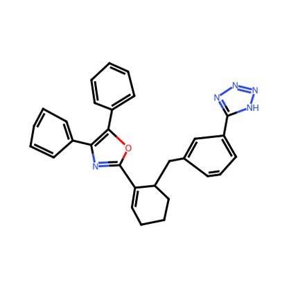 C1=C(c2nc(-c3ccccc3)c(-c3ccccc3)o2)C(Cc2cccc(-c3nnn[nH]3)c2)CCC1